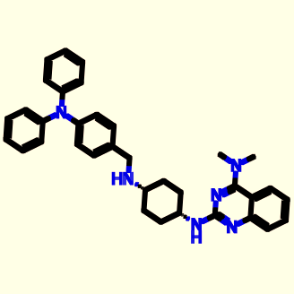 CN(C)c1nc(N[C@H]2CC[C@@H](NCc3ccc(N(c4ccccc4)c4ccccc4)cc3)CC2)nc2ccccc12